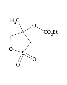 CCOC(=O)OC1(C)COS(=O)(=O)C1